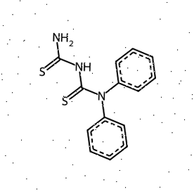 NC(=S)NC(=S)N(c1ccccc1)c1ccccc1